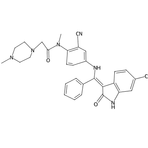 CN1CCN(CC(=O)N(C)c2ccc(NC(=C3C(=O)Nc4cc(Cl)ccc43)c3ccccc3)cc2C#N)CC1